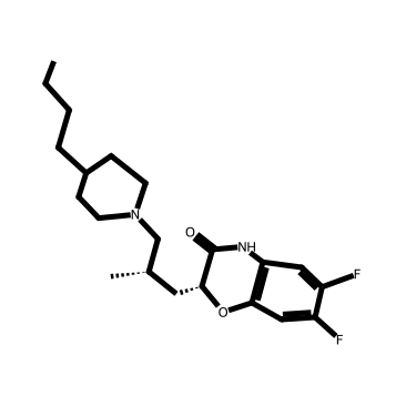 CCCCC1CCN(C[C@@H](C)C[C@H]2Oc3cc(F)c(F)cc3NC2=O)CC1